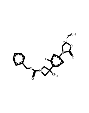 CC1(c2ccc(N3C[C@H](CO)OC3=O)cc2F)CN(C(=O)OCc2ccccc2)C1